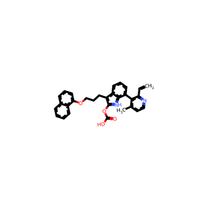 C=Cc1nccc(C)c1-c1cccc2c(CCCOc3cccc4ccccc34)c(OC(=O)O)[nH]c12